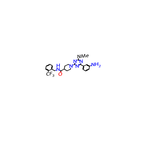 CNc1nc(-c2cccc(N)c2)nc(N2CCC(C(=O)NCc3ccccc3C(F)(F)F)CC2)n1